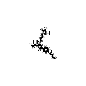 CCCCOc1ccc(C(=O)/C=C(\CCCC)NCCCCNC(C)C)cc1